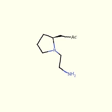 CC(=O)C[C@@H]1CCCN1CCN